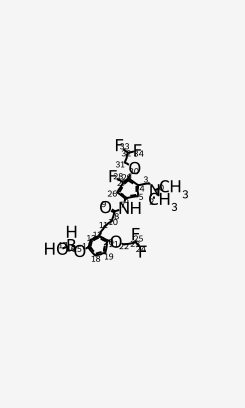 CN(C)Cc1cc(NC(=O)CCc2cc(OBO)ccc2OCC(F)F)cc(F)c1OCC(F)F